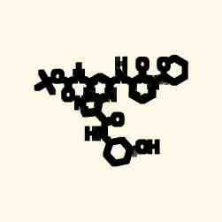 CN(C(=O)OC(C)(C)C)c1cc(Nc2cccn([C@@H]3CCCCO3)c2=O)nc2c(C(=O)NC3CCC[C@@H](O)C3)cnn12